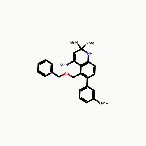 CNC1=CC(NC)(NC)Nc2ccc(-c3cccc(OC)c3)c(COCc3ccccc3)c21